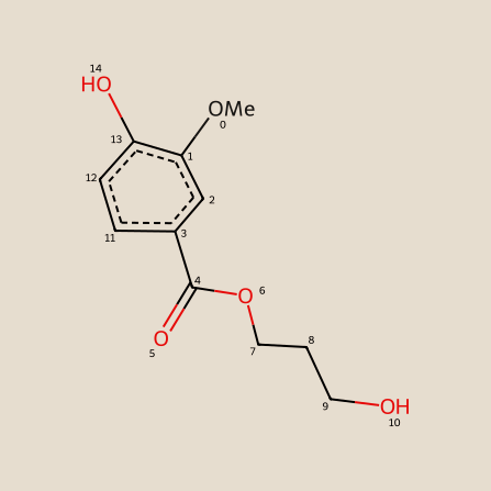 COc1cc(C(=O)OCCCO)ccc1O